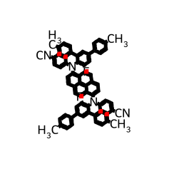 [C-]#[N+]c1ccc(N(c2c(F)cc(-c3ccc(C)cc3)cc2-c2ccc(C)cc2)c2ccc3ccc4c(N(c5ccc(C#N)cc5)c5c(F)cc(-c6ccc(C)cc6)cc5-c5ccc(C)cc5)ccc5ccc2c3c54)cc1